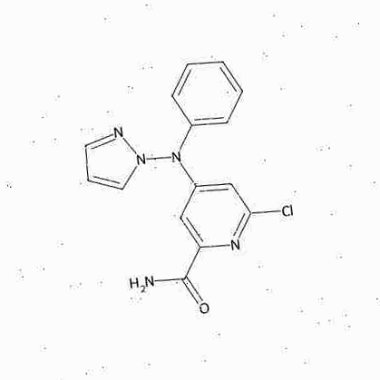 NC(=O)c1cc(N(c2ccccc2)n2cccn2)cc(Cl)n1